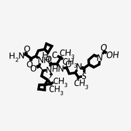 CC1SC(C2CCN(C(=O)O)CC2)=NC1CC(=O)NC(C(=O)N1C[C@]2(C[C@H]1C(=O)NC(CC1CCC1)C(=O)C(N)=O)C(C)(C)C21CCC1)C(C)(C)C